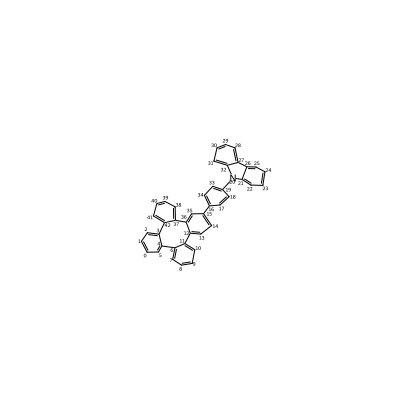 c1ccc2c(c1)-c1ccccc1-c1ccc(-c3ccc(-n4c5ccccc5c5ccccc54)cc3)cc1-c1ccccc1-2